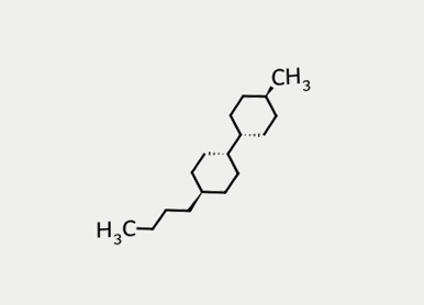 CCCC[C@H]1CC[C@H]([C@H]2CC[C@H](C)CC2)CC1